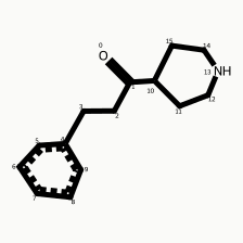 O=C(CCc1ccccc1)C1CCNCC1